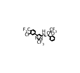 O=C(O[C@@H](CNc1cc(-c2ccc(C(F)(F)F)c(Cl)c2)nc(C(F)(F)F)n1)c1ccccc1)C(F)(F)F